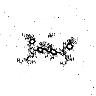 CC(O)CNc1nc(Nc2cccc(S(=O)(=O)O)c2)nc(-c2ccc(C=Cc3c(N)cc(-c4nc(NCC(C)O)nc(Nc5cccc(S(=O)(=O)O)c5)n4)cc3S(=O)(=O)[O-])c(S(=O)(=O)[O-])c2)n1.[Na+].[Na+]